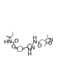 CC[C@H](C)NC(=O)O[C@@H]1CC[C@H](c2cc(NC(=O)Cc3c(C)noc3C)n[nH]2)C1